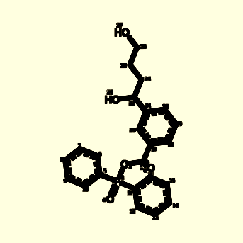 O=C(OP(=O)(c1ccccc1)c1ccccc1)c1cccc(C(O)CCCO)c1